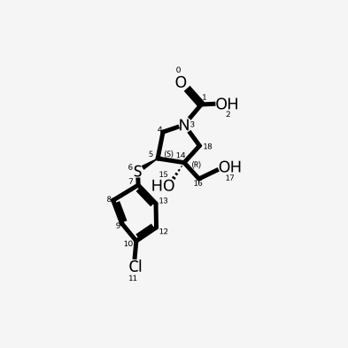 O=C(O)N1C[C@H](Sc2ccc(Cl)cc2)[C@](O)(CO)C1